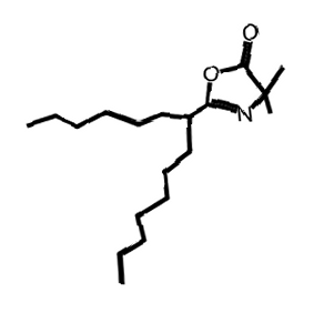 CCCCCCCC(CCCCCC)C1=NC(C)(C)C(=O)O1